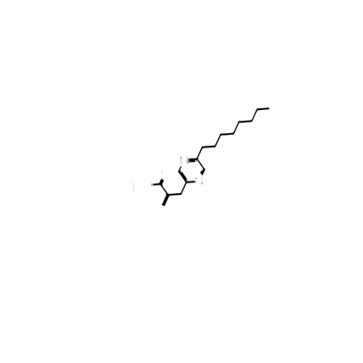 C=C(Cc1cnc(CCCCCCCC)cn1)C(=O)O